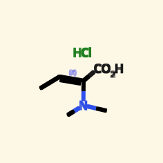 C/C=C(/C(=O)O)N(C)C.Cl